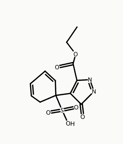 CCOC(=O)C1=C(C2(S(=O)(=O)O)C=CC=CC2)C(=O)N=N1